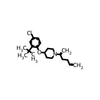 C=CCCC(=C)N1CCC(Oc2ccc(Cl)cc2C(C)(C)C)CC1